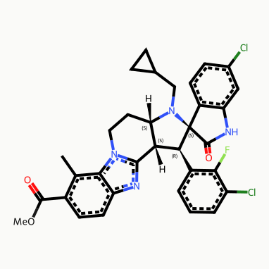 COC(=O)c1ccc2nc3n(c2c1C)CC[C@H]1[C@@H]3[C@H](c2cccc(Cl)c2F)[C@]2(C(=O)Nc3cc(Cl)ccc32)N1CC1CC1